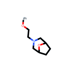 CC(C)OCCN1CC2CCC(C1)O2